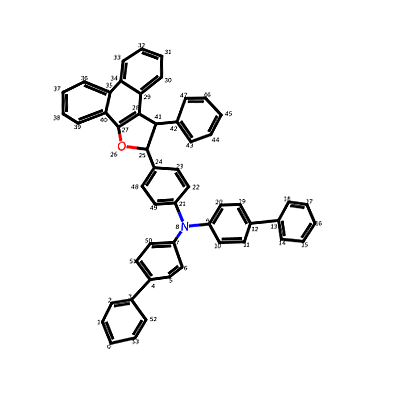 c1ccc(-c2ccc(N(c3ccc(-c4ccccc4)cc3)c3ccc(C4Oc5c(c6ccccc6c6ccccc56)C4c4ccccc4)cc3)cc2)cc1